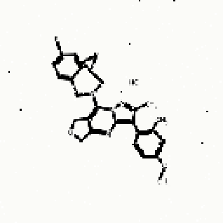 COc1ccc(-c2c(C)nn3c(N(Cc4ccc(F)cc4)CC4CC4)c4c(nc23)COC4)c(C)c1.Cl